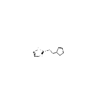 [c]1cnc(CCC2CCCC2)[nH]1